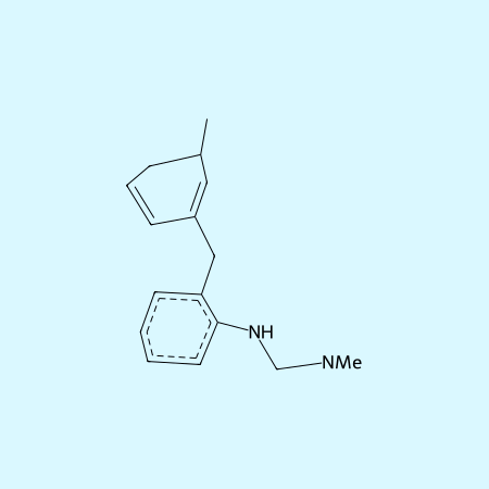 CNCNc1ccccc1CC1=CC(C)CC=C1